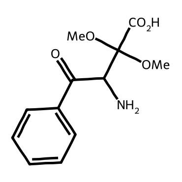 COC(OC)(C(=O)O)C(N)C(=O)c1ccccc1